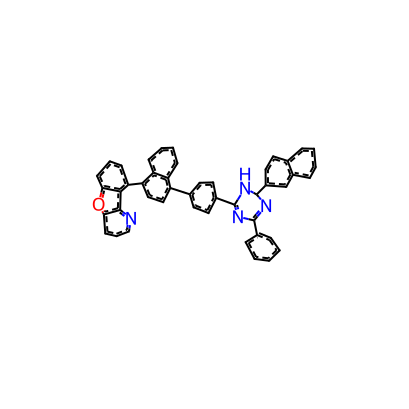 c1ccc(C2=NC(c3ccc4ccccc4c3)NC(c3ccc(-c4ccc(-c5cccc6oc7cccnc7c56)c5ccccc45)cc3)=N2)cc1